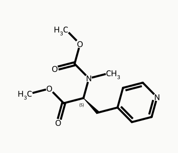 COC(=O)[C@H](Cc1ccncc1)N(C)C(=O)OC